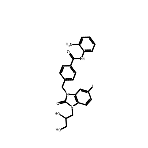 Nc1ccccc1NC(=O)c1ccc(Cn2c(=O)n(CC(O)CO)c3ccc(F)cc32)cc1